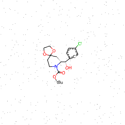 CC(C)(C)OC(=O)N1CCC2(C[C@@H]1[C@@H](O)c1ccc(Cl)cc1)OCCO2